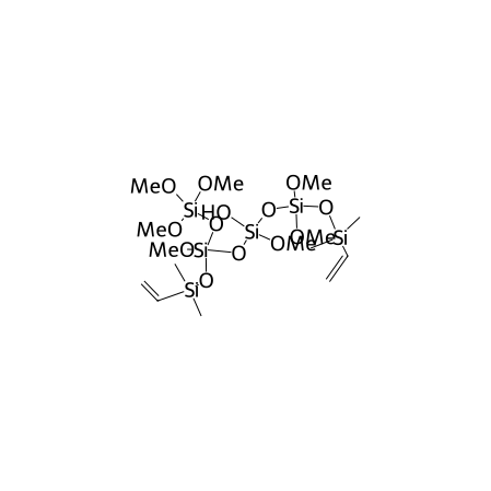 C=C[Si](C)(C)O[Si](OC)(OC)O[Si](O)(OC)O[Si](OC)(O[Si](C)(C)C=C)O[Si](OC)(OC)OC